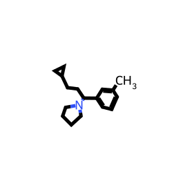 Cc1cccc(C(CCC2CC2)N2CCCC2)c1